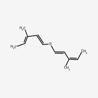 CC=C(C)C=[CH][Ti][CH]=CC(C)=CC